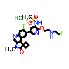 CN1C(=O)C2(CCC2)c2c1cnc1cc(F)c(-c3cnc(OCCNCCF)c(NS(C)(=O)=O)c3)cc21.Cl